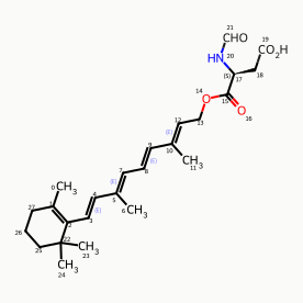 CC1=C(/C=C/C(C)=C/C=C/C(C)=C/COC(=O)[C@H](CC(=O)O)NC=O)C(C)(C)CCC1